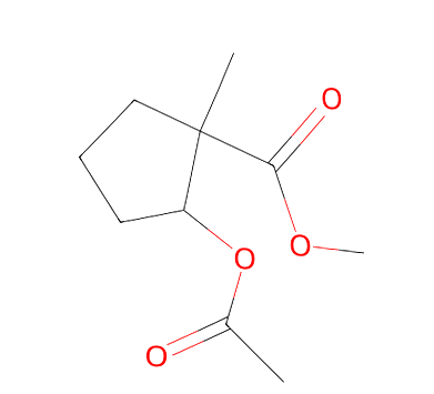 COC(=O)C1(C)CCCC1OC(C)=O